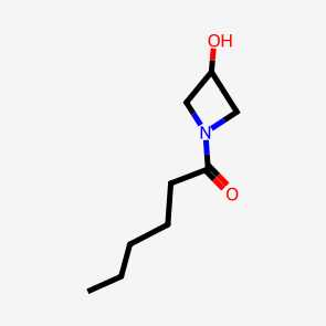 CCCCCC(=O)N1CC(O)C1